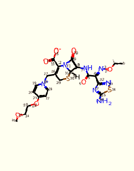 CCON=C(C(=O)NC1C(=O)N2C(C(=O)[O-])=C(C[n+]3ccc(OCCOC)cc3)CS[C@@H]12)c1nsc(N)n1